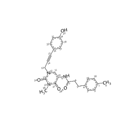 Cc1ccc(CCC(=O)Nc2cn(CC#Cc3ccc(O)cc3)c(=O)n(C)c2=O)cc1